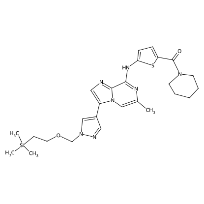 Cc1cn2c(-c3cnn(COCC[Si](C)(C)C)c3)cnc2c(Nc2ccc(C(=O)N3CCCCC3)s2)n1